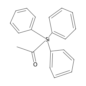 CC(=O)[Si](c1ccccc1)(c1ccccc1)c1ccccc1